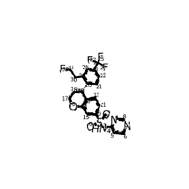 O=S(=O)(Nc1ccncn1)c1ccc2c(c1)OCC[C@@H]2c1ccc(C(F)(F)F)cc1CCF